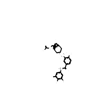 CC(C)C(=O)NC[C@@]1(O)C2C[C@@H](S(=O)(=O)c3cc(C(=O)Nc4cc(F)c(F)c(F)c4)ccc3Cl)CC1[C@@H](C)C2